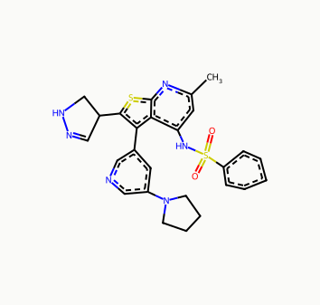 Cc1cc(NS(=O)(=O)c2ccccc2)c2c(-c3cncc(N4CCCC4)c3)c(C3C=NNC3)sc2n1